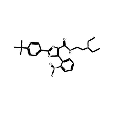 CCN(CC)CCNC(=O)c1nc(-c2ccc(C(C)(C)C)cc2)oc1-c1ccccc1[N+](=O)[O-]